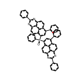 O=P(c1ccccc1)(c1cc(-c2ccccc2)c2ccc3nc(-c4ccccc4)nc4ccc1c2c34)c1cc(-c2ccccc2)c2ccc3nc(-c4ccccc4)nc4ccc1c2c34